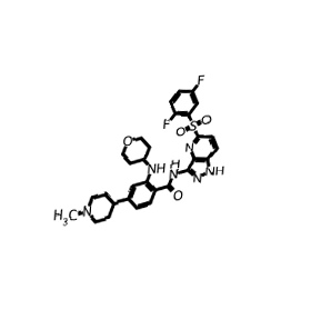 CN1CCC(c2ccc(C(=O)Nc3n[nH]c4ccc(S(=O)(=O)c5cc(F)ccc5F)nc34)c(NC3CCOCC3)c2)CC1